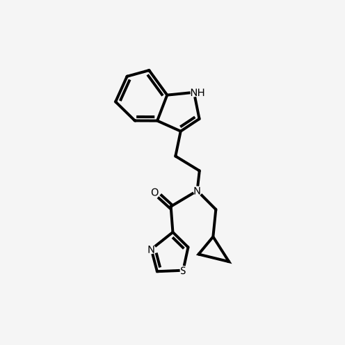 O=C(c1cscn1)N(CCc1c[nH]c2ccccc12)CC1CC1